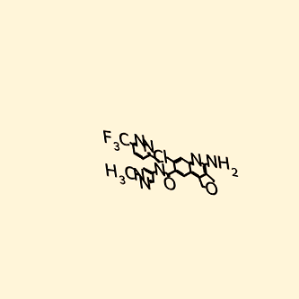 Cn1cc(N(Cc2ccc(C(F)(F)F)nn2)C(=O)c2cc3c4c(c(N)nc3cc2Cl)COC4)cn1